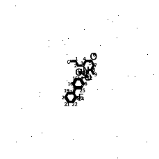 CCCC1CC(=O)CC(C)N1S(=O)(=O)c1ccc(-c2ccccc2F)cc1